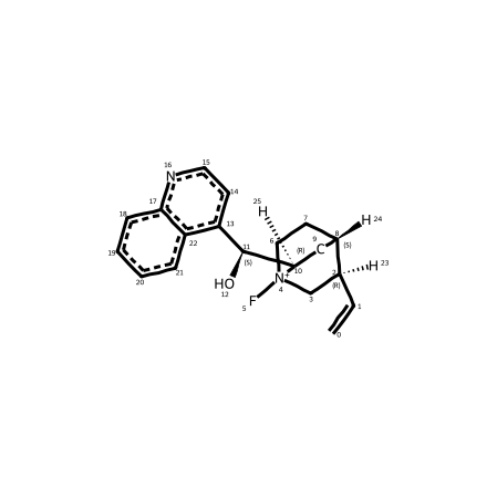 C=C[C@H]1C[N+]2(F)CC[C@H]1C[C@@H]2[C@@H](O)c1ccnc2ccccc12